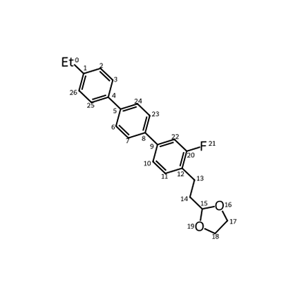 CCc1ccc(-c2ccc(-c3ccc(CCC4OCCO4)c(F)c3)cc2)cc1